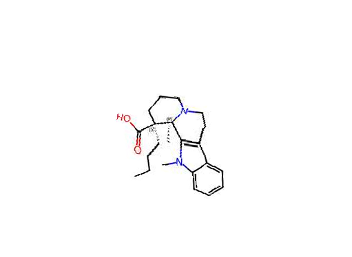 CCCC[C@]1(C(=O)O)CCCN2CCc3c(n(C)c4ccccc34)[C@]21C